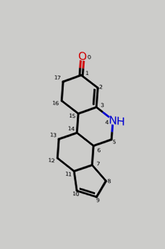 O=C1C=C2NCC3C4CC=CC4CCC3C2CC1